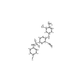 N#Cc1cc(S(=O)(=O)Nc2ccc(F)cn2)ccc1Oc1cnc(N)c(Cl)c1